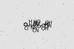 C[C@@H](O)[C@@H](O[C@@H](CO)COCP(=O)(O)O)n1ncc2c(NCc3ccccc3Cl)nc(C#N)nc21